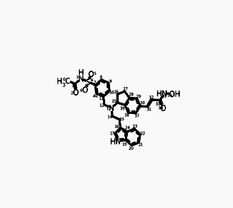 CC(=O)NS(=O)(=O)c1cccc(CN(CCc2c[nH]c3ccccc23)C2CCc3cc(/C=C/C(=O)NO)ccc32)c1